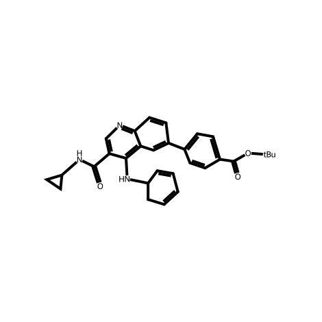 CC(C)(C)OC(=O)c1ccc(-c2ccc3ncc(C(=O)NC4CC4)c(NC4C=CC=CC4)c3c2)cc1